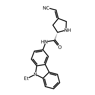 CCn1c2ccccc2c2cc(NC(=O)[C@@H]3C/C(=C\C#N)CN3)ccc21